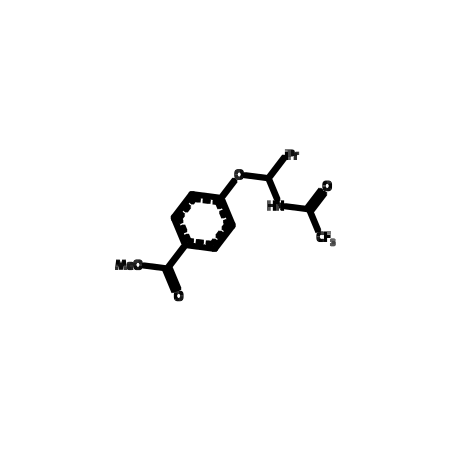 COC(=O)c1ccc(OC(NC(=O)C(F)(F)F)C(C)C)cc1